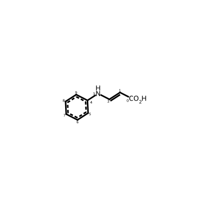 O=C(O)/C=C/Nc1ccccc1